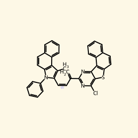 C=C(/C=C\c1c(C)c2c3ccccc3ccc2n1-c1ccccc1)c1nc(Cl)c2sc3ccc4ccccc4c3c2n1